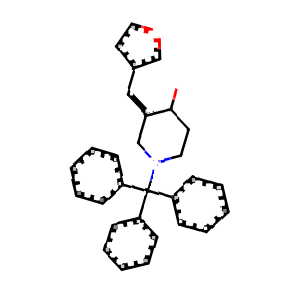 OC1CCN(C(c2ccccc2)(c2ccccc2)c2ccccc2)CC1=Cc1ccoc1